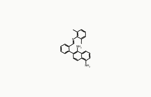 Cc1cccc(C)c1N=Cc1ccccc1-c1ccc2c(N)cccc2c1N